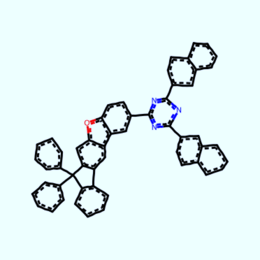 c1ccc(C2(c3ccccc3)c3ccccc3-c3cc4c(cc32)oc2ccc(-c3nc(-c5ccc6ccccc6c5)nc(-c5ccc6ccccc6c5)n3)cc24)cc1